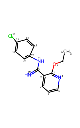 CCOc1ncccc1C(=N)Nc1ccc(Cl)cc1